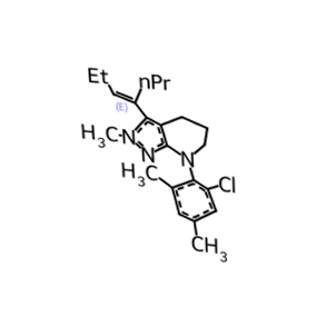 CC/C=C(\CCC)c1c2c(nn1C)N(c1c(C)cc(C)cc1Cl)CCC2